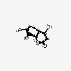 O=c1cc(O)c2ccc(F)cc2s1